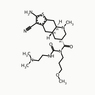 COCCCN(C(=O)NCCN(C)C)C(=O)[C@@H]1C[C@@H]2Cc3c(sc(N)c3C#N)C[C@H]2N(C)C1